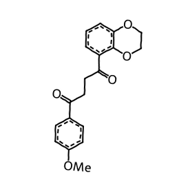 COc1ccc(C(=O)CCC(=O)c2cccc3c2OCCO3)cc1